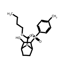 CCCCOC(=O)N1C2CCC1C(S(=O)(=O)c1ccc(C)cc1)C2O